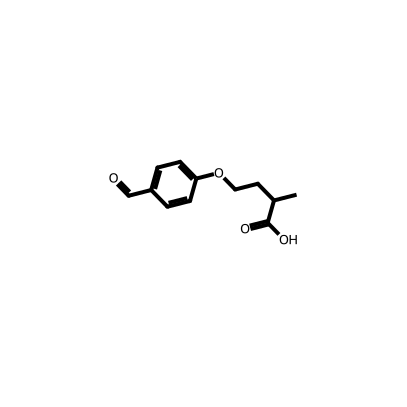 CC(CCOc1ccc(C=O)cc1)C(=O)O